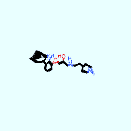 OC(CNCCc1ccncc1)COc1cccc2c1[nH]c1ccccc12